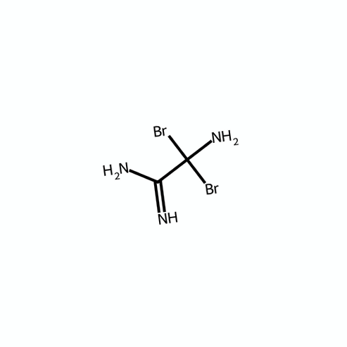 N=C(N)C(N)(Br)Br